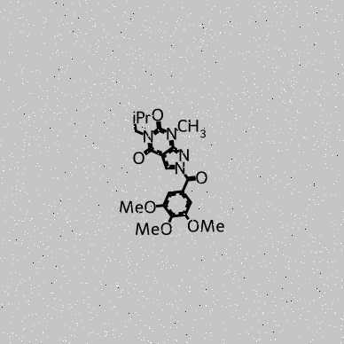 COc1cc(C(=O)n2cc3c(=O)n(CC(C)C)c(=O)n(C)c3n2)cc(OC)c1OC